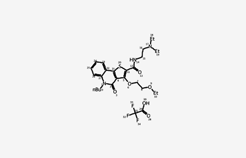 CCCCn1c(=O)c2c(OCCOCC)c(C(=O)NCCN(CC)CC)sc2c2ccccc21.O=C(O)C(F)(F)F